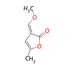 COC=C1C=C(C)OC1=O